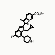 CCOC(=O)c1ccc2c(C)c(-c3cc4cc(F)cc(C5CCNCC5)c4n3CC3CC3)nn2c1